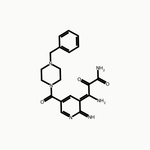 N=C1N=CC(C(=O)N2CCN(Cc3ccccc3)CC2)=C/C1=C(/N)C(=O)C(N)=O